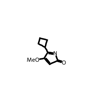 COC1=CC(=O)N=C1C1CCC1